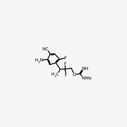 CNC(=N)OCC(F)(F)C(C)c1cc(N)c(C#N)cc1F